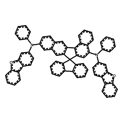 c1ccc(N(c2ccc3cc4c(cc3c2)C2(c3ccccc3-c3ccccc32)c2cc(N(c3ccccc3)c3ccc5c(c3)oc3ccccc35)c3ccccc3c2-4)c2ccc3c(c2)oc2ccccc23)cc1